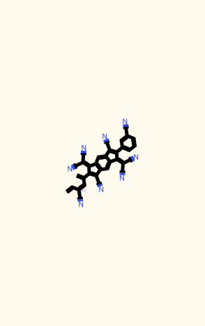 C=C/C(C#N)=C\C(=C)C1=C(C#N)c2cc3c(cc2C1=C(C#N)C#N)C(C#N)=C(c1cccc(C#N)c1)C3=C(C#N)C#N